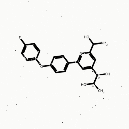 C[C@@H](O)[C@H](O)c1cc(-c2ccc(Oc3ccc(F)cc3)cc2)nc(C(N)O)c1